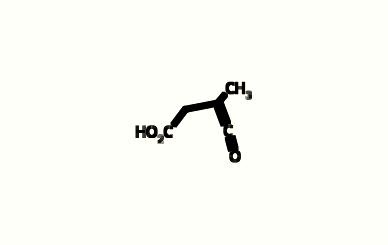 CC(=C=O)CC(=O)O